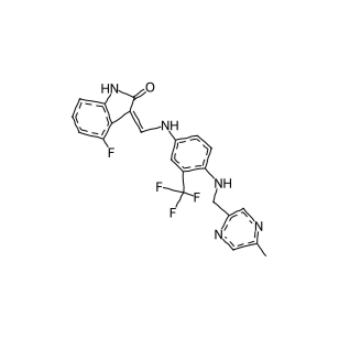 Cc1cnc(CNc2ccc(NC=C3C(=O)Nc4cccc(F)c43)cc2C(F)(F)F)cn1